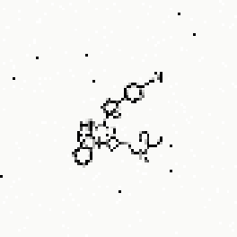 C=CC(=O)N(C)CCC1CC(n2c(NC(=O)c3ccc(-c4ccc(C#N)cc4)s3)nc3ccccc32)C1